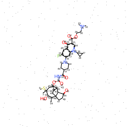 CS[C@]1(C)C[C@@H](OC(=O)NC(=O)C2CCN(c3cc4c(cc3F)c(=O)c(C(=O)OCCN(C)C)cn4C3CC3)CC2)[C@@]2(C)C3C(=O)CCC3(CC[C@H]2C)[C@@H](C)[C@@H]1O